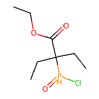 CCOC(=O)C(CC)(CC)[PH](=O)Cl